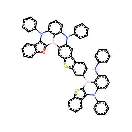 c1ccc(N2c3cc4c(cc3B3c5oc6ccccc6c5N(c5ccccc5)c5cccc2c53)sc2cc3c(cc24)N(c2ccccc2)c2cccc4c2B3c2sc3ccccc3c2N4c2ccccc2)cc1